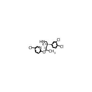 C[C@@H](Oc1ccc(Cl)cn1)[C@@H]1CNC[C@H]1c1ccc(Cl)c(Cl)c1